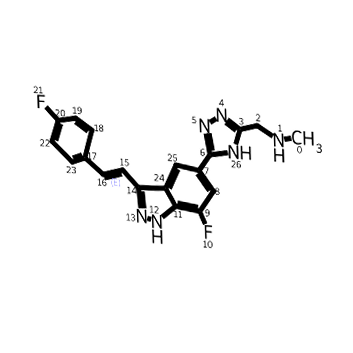 CNCc1nnc(-c2cc(F)c3[nH]nc(/C=C/c4ccc(F)cc4)c3c2)[nH]1